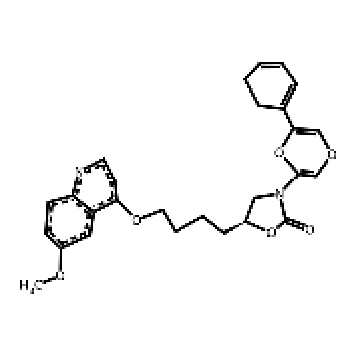 COc1ccc2nccc(OCCCC[C@H]3CN(C4=COC=C(C5=CC=CCC5)O4)C(=O)O3)c2c1